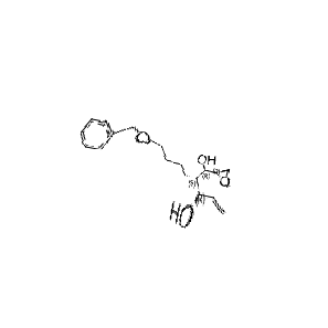 C=C[C@@H](O)[C@H](CCCCOCc1ccccc1)[C@@H](O)[C@H]1CO1